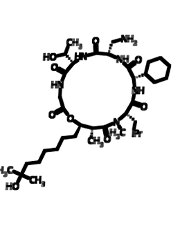 CC(C)C[C@H]1C(=O)N[C@@H](C2CCCCC2)C(=O)N[C@@H](CN)C(=O)N[C@@H](C(C)O)C(=O)NCC(=O)O[C@H](CCCCCCC(C)(C)O)[C@@H](C)C(=O)N1C